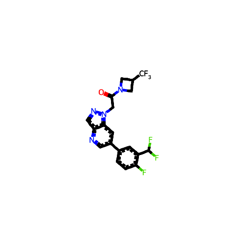 O=C(Cn1ncc2ncc(-c3ccc(F)c(C(F)F)c3)cc21)N1CC(C(F)(F)F)C1